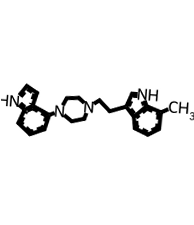 Cc1cccc2c(CCN3CCN(c4cccc5[nH]ccc45)CC3)c[nH]c12